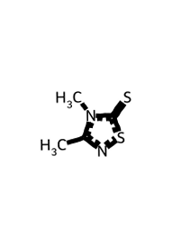 Cc1nsc(=S)n1C